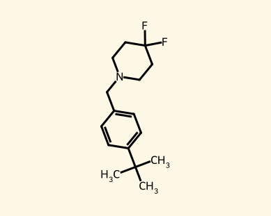 CC(C)(C)c1ccc(CN2CCC(F)(F)CC2)cc1